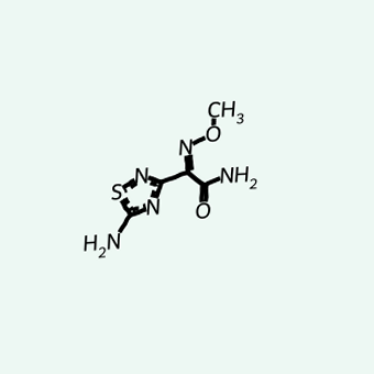 CON=C(C(N)=O)c1nsc(N)n1